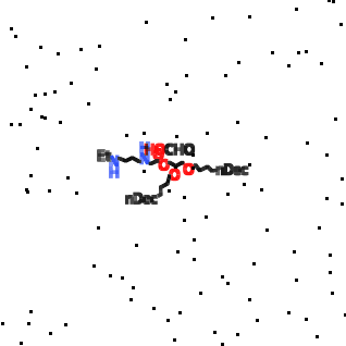 CCCCCCCCCCCCCCOCC(COC(=O)CNCCCCNCC)OCCCCCCCCCCCCCC.O=CO